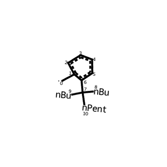 [CH2]c1ccccc1C(CCCC)(CCCC)CCCCC